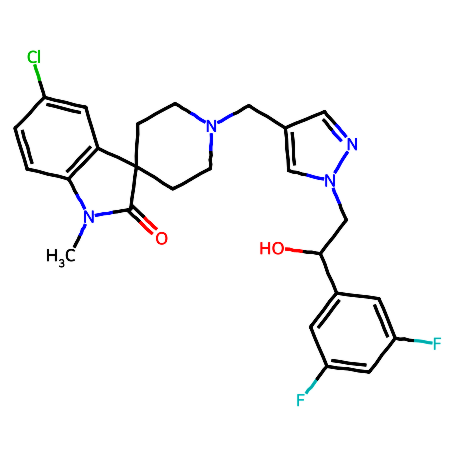 CN1C(=O)C2(CCN(Cc3cnn(CC(O)c4cc(F)cc(F)c4)c3)CC2)c2cc(Cl)ccc21